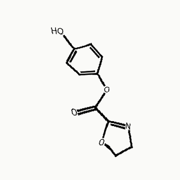 O=C(Oc1ccc(O)cc1)C1=NCCO1